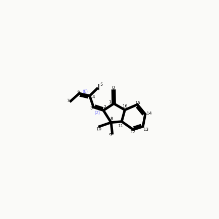 C=C1/C(=C\C(I)=C/C)C(C)(C)C2C=CC=CC12